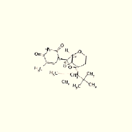 Cc1cn([C@@H]2O[C@@]3(CC(C)(C)C)CCO[C@H]2C3OC(C)(C)C)c(=O)[nH]c1=O